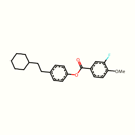 COc1ccc(C(=O)Oc2ccc(CCC3CC[CH]CC3)cc2)cc1F